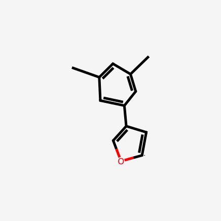 Cc1cc(C)cc(-c2c[c]oc2)c1